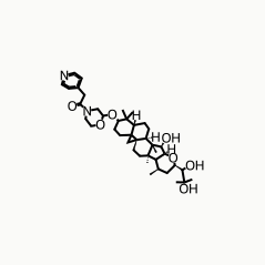 C[C@@H]1C[C@H](C(O)C(C)(C)O)O[C@H]2C1[C@@]1(C)CC[C@@]34CC35CCC(OC3CN(C(=O)Cc6ccncc6)CCO3)C(C)(C)[C@@H]5CC[C@H]4[C@]1(C)[C@H]2O